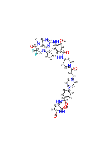 COc1cc(C(=O)NC2CCN(C(=O)CCN3CCN(c4ccc(C(=O)NC5CCC(=O)NC5=O)cc4)CC3)CC2)ccc1Nc1ncc2c(n1)N(C1CCCC1)CC(F)(F)C(=O)N2C